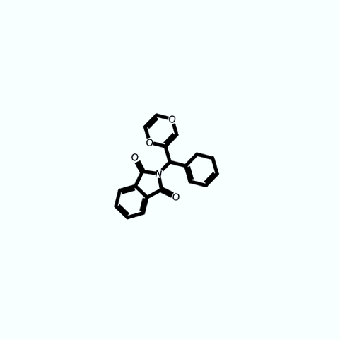 O=C1c2ccccc2C(=O)N1C(C1=CC=CCC1)C1=COC=CO1